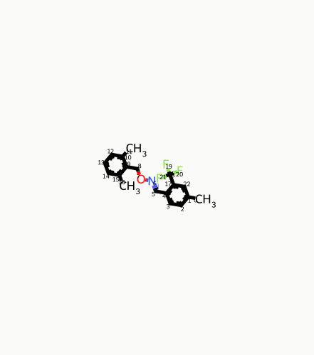 Cc1ccc(/C=N/OCc2c(C)cccc2C)c(C(F)(F)F)c1